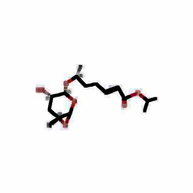 CC(C)OC(=O)/C=C/CC[C@@H](C)O[C@@H]1OC2O[C@@H]2C[C@@H]1O